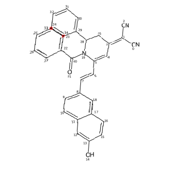 N#CC(C#N)=C1C=C(C=Cc2ccc3cc(O)ccc3c2)N(C(=O)c2ccccc2)C(c2ccccc2)C1